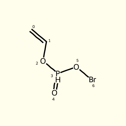 C=CO[PH](=O)OBr